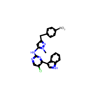 Cn1nc(Cc2ccc([N+](=O)[O-])cc2)cc1Nc1ncc(Cl)c(-c2c[nH]c3ccccc23)n1